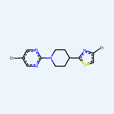 CCc1cnc(N2CCC(c3nc(CC)cs3)CC2)nc1